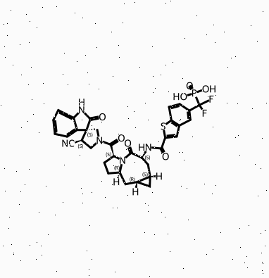 N#C[C@@H]1CN(C(=O)[C@@H]2CC[C@@H]3C[C@H]4C[C@H]4C[C@H](NC(=O)c4cc5cc(C(F)(F)P(=O)(O)O)ccc5s4)C(=O)N32)C[C@]12C(=O)Nc1ccccc12